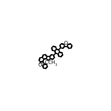 CC1(C)c2ccc(-c3c4ccccc4c(-c4ccc5oc6ccccc6c5c4)c4ccccc34)cc2-c2ccc3ccc4oc5ccccc5c4c3c21